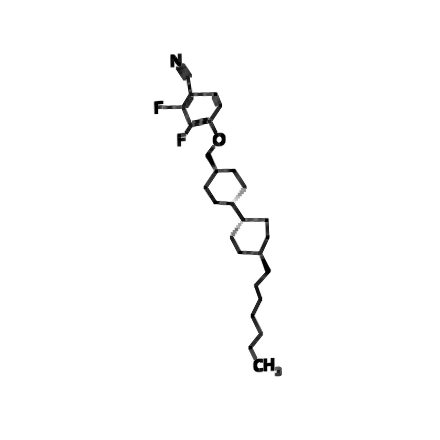 CCCCCCC[C@H]1CC[C@H]([C@H]2CC[C@H](COc3ccc(C#N)c(F)c3F)CC2)CC1